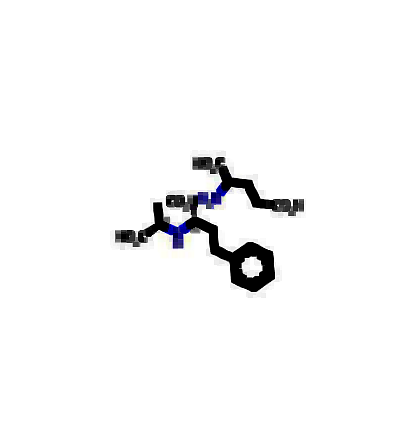 C[C@@H](N[C@@H](CCc1ccccc1)C(=O)O)C(=O)O.NC(CCC(=O)O)C(=O)O